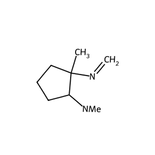 C=NC1(C)CCCC1NC